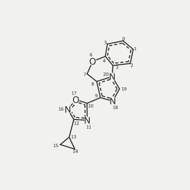 c1ccc2c(c1)OCc1c(-c3nc(C4CC4)no3)ncn1-2